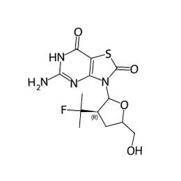 CC(C)(F)[C@@H]1CC(CO)OC1n1c(=O)sc2c(=O)[nH]c(N)nc21